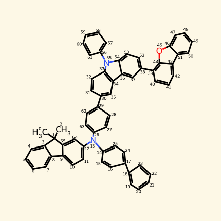 CC1(C)c2ccccc2-c2ccc(N(c3ccc(-c4ccccc4)cc3)c3ccc(-c4ccc5c(c4)c4cc(-c6cccc7c6oc6ccccc67)ccc4n5-c4ccccc4)cc3)cc21